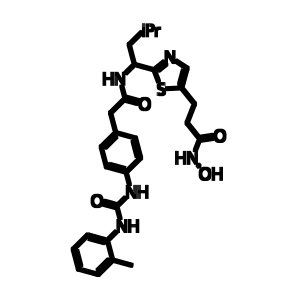 Cc1ccccc1NC(=O)Nc1ccc(CC(=O)NC(CC(C)C)c2ncc(CCC(=O)NO)s2)cc1